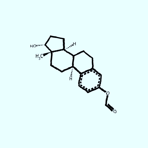 C[C@]12CC[C@@H]3c4ccc(OC=O)cc4CCC3[C@@H]1CC[C@H]2O